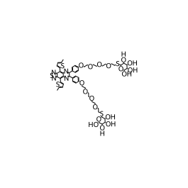 Cc1ccc(-c2c3nsnc3c(-c3ccc(C)s3)c3nc(-c4ccc(OCCOCCOCCOCCSC5OC(O)C(O)C(O)C5O)cc4)c(-c4ccc(OCCOCCOCCOCCSC5OC(O)C(O)C(O)C5O)cc4)nc23)s1